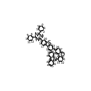 c1ccc(-c2nc(-c3ccccc3)nc(-c3ccc4c(c3)sc3cc(-c5ccc6oc7cccc(-n8c9ccccc9c9ccccc98)c7c6c5)ccc34)n2)cc1